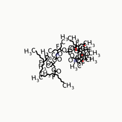 C=C(C)C(=O)OCC(CC)(COC(=O)C(F)(CC)CC)COC(=O)C(F)(CC)C(C)/C=C(\C)C(=O)OCC(CC)(COC(=O)C(F)(CCCC)CCCC)COC(=O)C(F)(CCC)C(/C=C(\C)C(=O)OCC(CC)(COC(=O)C(F)(CCCCC)CCCCCC)COC(=O)C(F)(CCCCCC)CCCCCC)CCC